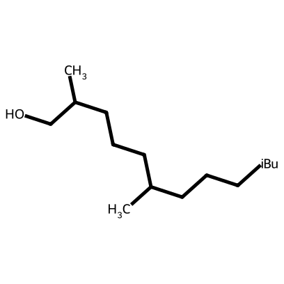 CCC(C)CCCC(C)CCCC(C)CO